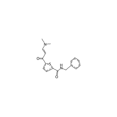 CN(C)/C=C/C(=O)c1ccc(C(=O)NCc2ccccc2)s1